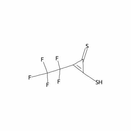 FC(F)(F)C(F)(F)c1c(S)c1=S